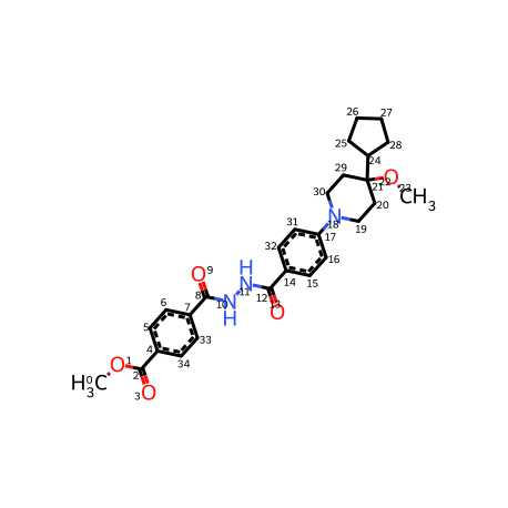 COC(=O)c1ccc(C(=O)NNC(=O)c2ccc(N3CCC(OC)(C4CCCC4)CC3)cc2)cc1